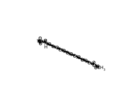 COC(=O)COC(=O)CCOCCOCCOCCOCCOCCOCCOCCOCCOCCOCCOCCOCCNC(=O)CCN1C(=O)C=CC1=O